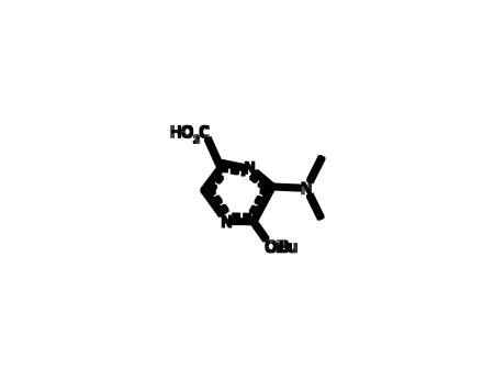 CC(C)COc1ncc(C(=O)O)nc1N(C)C